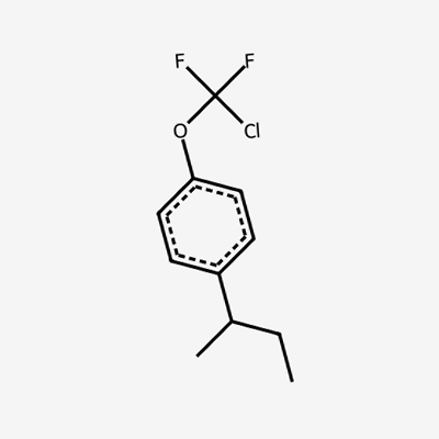 CCC(C)c1ccc(OC(F)(F)Cl)cc1